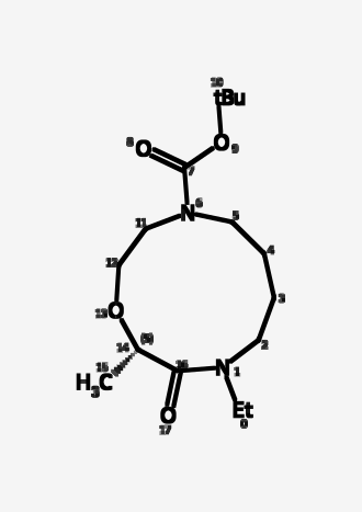 CCN1CCCCN(C(=O)OC(C)(C)C)CCO[C@@H](C)C1=O